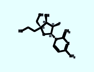 C=C1N=C(N)C=CN1[C@@H]1O[C@@](CO)(CCS)[C@@H](O)[C@H]1F